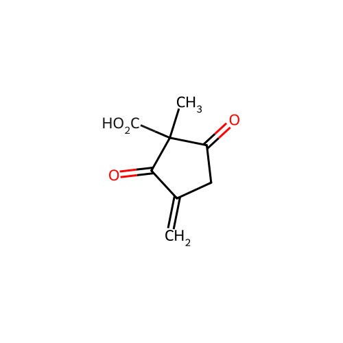 C=C1CC(=O)C(C)(C(=O)O)C1=O